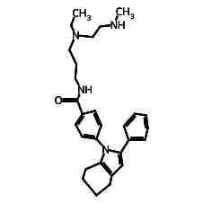 CCN(CCCNC(=O)c1ccc(-n2c(-c3ccccc3)cc3c2CCCC3)cc1)CCNC